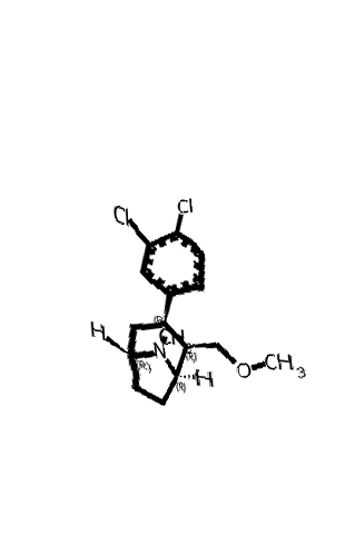 COC[C@H]1[C@H]2CC[C@H](C[C@H]1c1ccc(Cl)c(Cl)c1)N2C